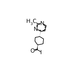 Cc1nccc([C@H]2CC[C@H](C(=O)I)CC2)n1